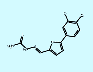 NC(=S)NN=Cc1ccc(-c2ccc(Cl)c(Cl)c2)o1